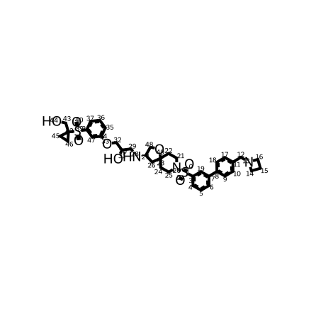 O=S(=O)(c1cccc(-c2ccc(CN3CCC3)cc2)c1)N1CCC2(CC1)C[C@H](NCC(O)COc1cccc(S(=O)(=O)C3(CO)CC3)c1)CO2